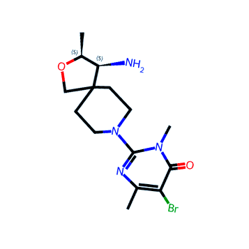 Cc1nc(N2CCC3(CC2)CO[C@@H](C)[C@H]3N)n(C)c(=O)c1Br